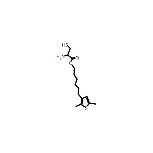 Cc1cc(CCCCCCOC(=O)C(N)CS)c(C)s1